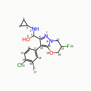 OC(NC1CC1)c1nn2c(c1-c1ccc(Cl)c(F)c1)OCC(F)C2